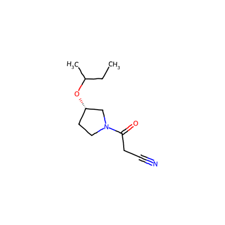 CCC(C)O[C@H]1CCN(C(=O)CC#N)C1